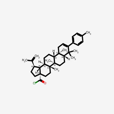 C=C(C)[C@@H]1CC[C@]2(C(=O)Cl)CC[C@]3(C)[C@H](CC[C@@H]4[C@@]5(C)CC=C(c6ccc(C)cc6)C(C)(C)[C@@H]5CC[C@]43C)[C@@H]12